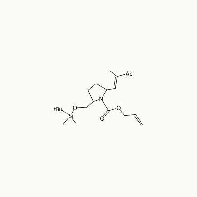 C=CCOC(=O)N1C(C=C(C)C(C)=O)CCC1CO[Si](C)(C)C(C)(C)C